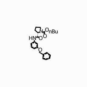 CCCCOC(=O)N1CCC[C@H]1C(=O)Nc1cccc(OCc2ccccc2)c1